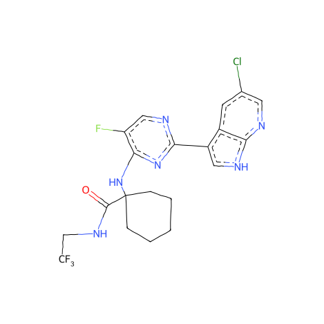 O=C(NCC(F)(F)F)C1(Nc2nc(-c3c[nH]c4ncc(Cl)cc34)ncc2F)CCCCC1